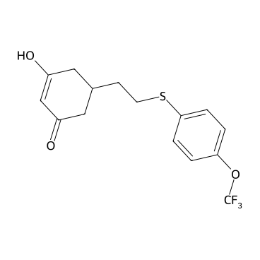 O=C1C=C(O)CC(CCSc2ccc(OC(F)(F)F)cc2)C1